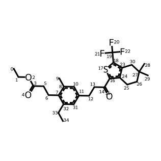 CCOC(=O)CCc1c(C)cc(CCC(=O)c2sc(C(F)(F)F)c3c2CCC(C)(C)C3)cc1CC